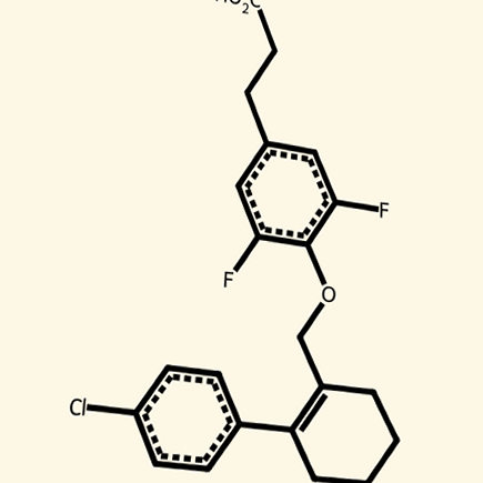 O=C(O)CCc1cc(F)c(OCC2=C(c3ccc(Cl)cc3)CCCC2)c(F)c1